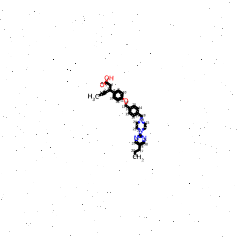 CC#CC(CC(=O)O)c1ccc(OCc2ccc(CN3CCN(c4ncc(CCC)cn4)CC3)cc2)cc1